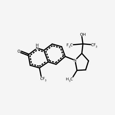 CC1CCC(C(O)(C(F)(F)F)C(F)(F)F)N1c1ccc2[nH]c(=O)cc(C(F)(F)F)c2c1